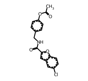 CC(=O)Oc1ccc(CNC(=O)c2cc3cc(Cl)ccc3o2)cc1